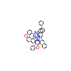 c1ccc(-c2cccc(-c3nc(-c4ccc5oc6ccccc6c5c4)nc(-c4cccc5oc6ccc7ccc(-n8c9cc%10ccccc%10cc9c9cc%10ccccc%10cc98)cc7c6c45)n3)c2)cc1